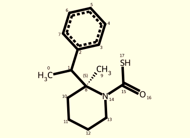 CC(c1ccccc1)[C@]1(C)CCCCN1C(=O)S